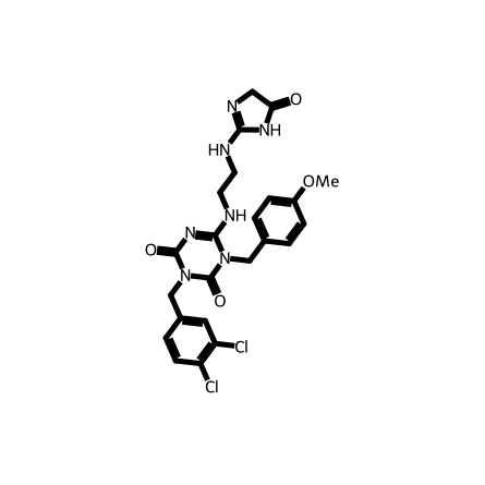 COc1ccc(Cn2c(NCCNC3=NCC(=O)N3)nc(=O)n(Cc3ccc(Cl)c(Cl)c3)c2=O)cc1